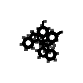 Cc1cc[c]([Zr]([c]2ccc(C)cc2)([CH]2C=Cc3ccccc32)([CH]2C=Cc3ccccc32)=[Si](C)C)cc1